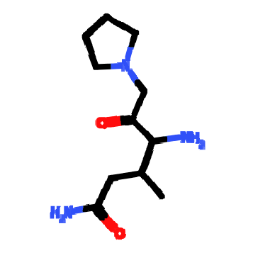 CC(CC(N)=O)C(N)C(=O)CN1CCCC1